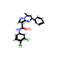 Cc1cc(-c2ccccc2)nc2c(C(O)Nc3ccc(Cl)c(Cl)c3)cnn12